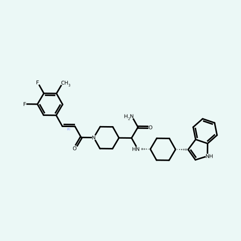 Cc1cc(/C=C/C(=O)N2CCC(C(N[C@H]3CC[C@@H](c4c[nH]c5ccccc54)CC3)C(N)=O)CC2)cc(F)c1F